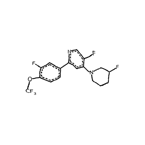 Fc1cc(-c2cc(N3CCCC(F)C3)c(F)cn2)ccc1OC(F)(F)F